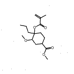 C=C(C)C(=O)OC1(CCC)CCC(C(=O)OC)CC1OC